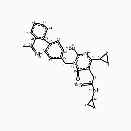 CCCCc1nc(C2CC2)c(CC(=S)NC2CC2)c(=O)n1Cc1ccc(-c2ccccc2C(C)=N)cc1